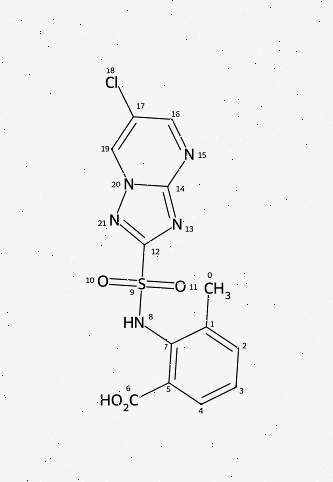 Cc1cccc(C(=O)O)c1NS(=O)(=O)c1nc2ncc(Cl)cn2n1